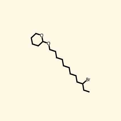 CCC(Br)CCCCCCCCCOC1CCCCO1